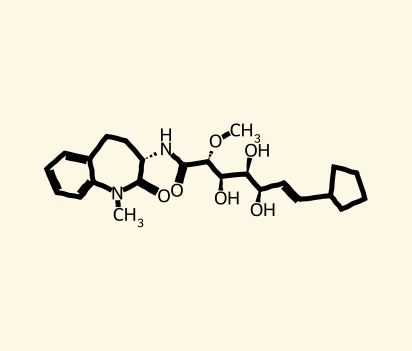 CO[C@@H](C(=O)N[C@H]1CCc2ccccc2N(C)C1=O)[C@H](O)[C@@H](O)[C@H](O)/C=C/C1CCCC1